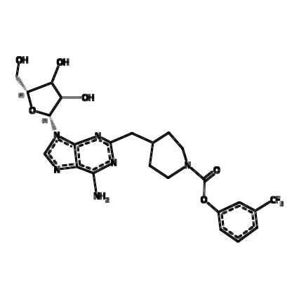 Nc1nc(CC2CCN(C(=O)Oc3cccc(C(F)(F)F)c3)CC2)nc2c1ncn2[C@@H]1O[C@H](CO)C(O)C1O